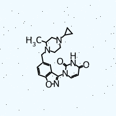 CC1CN(C2CC2)CCN1Cc1ccc2onc(-n3ccc(=O)[nH]c3=O)c2c1